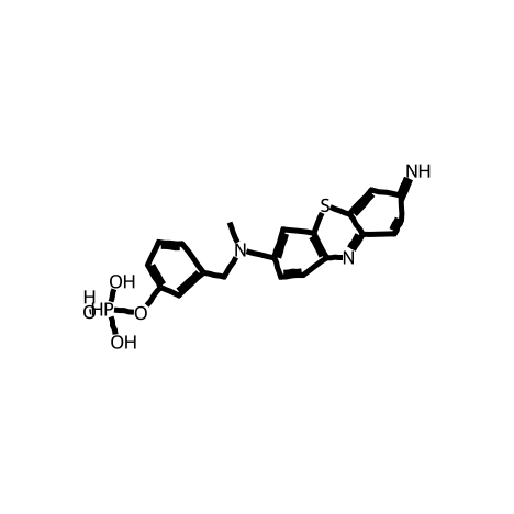 CN(Cc1cccc(O[PH](O)(O)O)c1)c1ccc2nc3ccc(=N)cc-3sc2c1